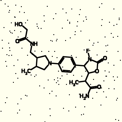 CC1CN(c2ccc(C3C(C(C)C(N)=O)OC(=O)N3F)cc2)CC1CNC(=O)CO